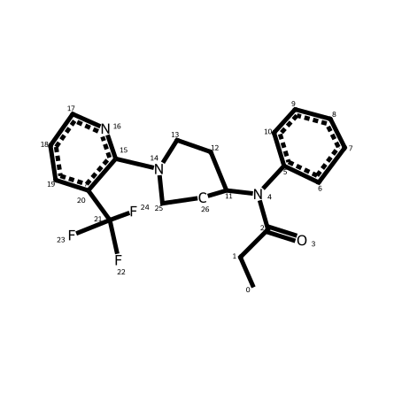 CCC(=O)N(c1ccccc1)C1CCN(c2ncccc2C(F)(F)F)CC1